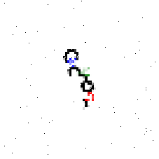 CCCOc1ccc(CCCC(CC)N2CCCCCC2)cc1.Cl